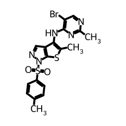 Cc1ccc(S(=O)(=O)n2ncc3c(Nc4nc(C)ncc4Br)c(C)sc32)cc1